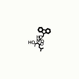 C[C](C)CC(=O)[C@@H](NC(=O)OCC1c2ccccc2-c2ccccc21)[C@@H](C)O